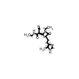 CCNC(=O)/C(C#N)=C1\SC(CCc2nc[nH]c2C)C(=O)N1CC